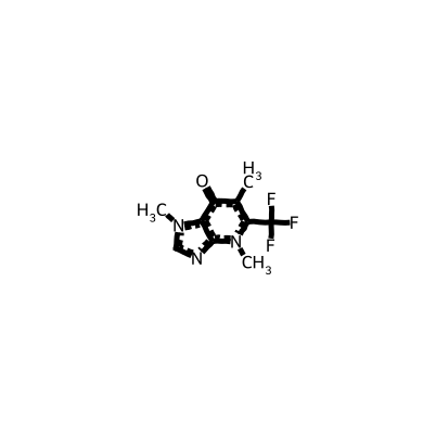 Cc1c(C(F)(F)F)n(C)c2ncn(C)c2c1=O